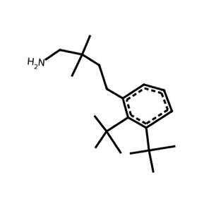 CC(C)(CN)CCc1cccc(C(C)(C)C)c1C(C)(C)C